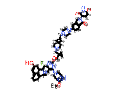 C#Cc1cccc2cc(O)cc(-c3ncc4c(N5CC6CC(OCC)C(C5)N6)nc(OCC5(CN6CCC7(CC6)CC(CN6CCN(c8ccc9c(c8)CN([C@H]8CCC(=O)NC8=O)C9=O)CC6)C7)CC5)nc4c3F)c12